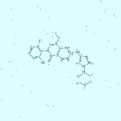 CCc1cn(-c2c(Cl)cccc2Cl)c(=O)c2cnc(Nc3cnn(C4CCNCC4)c3)nc12